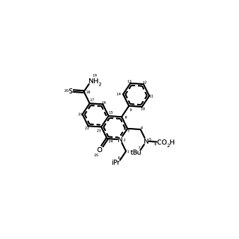 CC(C)Cn1c(CN(C(=O)O)C(C)(C)C)c(-c2ccccc2)c2cc(C(N)=S)ccc2c1=O